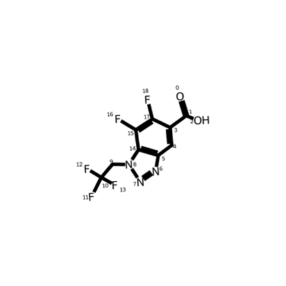 O=C(O)c1cc2nnn(CC(F)(F)F)c2c(F)c1F